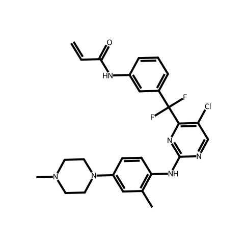 C=CC(=O)Nc1cccc(C(F)(F)c2nc(Nc3ccc(N4CCN(C)CC4)cc3C)ncc2Cl)c1